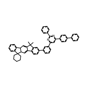 CC1(C)C2=CC3c4ccccc4C4(CCCCC4)C3C=C2c2ccc(-c3cccc(-c4cc(-c5ccc(-c6ccccc6)cc5)nc(-c5ccccc5)n4)c3)cc21